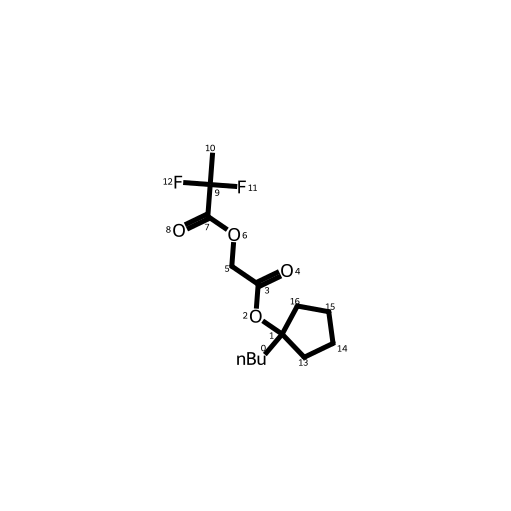 CCCCC1(OC(=O)COC(=O)C(C)(F)F)CCCC1